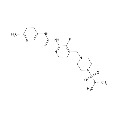 Cc1ccc(NC(=O)Nc2nccc(CN3CCN(S(=O)(=O)N(C)C)CC3)c2F)cn1